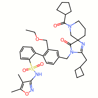 CCOCc1cc(CN2C(=O)C3(CCCN(C(=O)C4CCCC4)C3)N=C2CC2CCC2)ccc1-c1ccccc1S(=O)(=O)Nc1noc(C)c1C